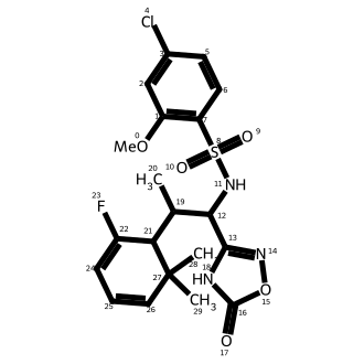 COc1cc(Cl)ccc1S(=O)(=O)NC(c1noc(=O)[nH]1)C(C)C1C(F)=CC=CC1(C)C